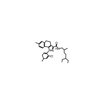 CCC(CC)CCC(C)CNC(=O)c1nn(C2=CCC(C)C=C2Cl)c2c1CCc1cc(C)ccc1-2